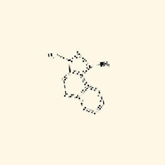 Bc1nn(B)c2c1ccc1ccccc12